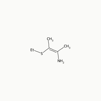 CCS/C(C)=C(/C)N